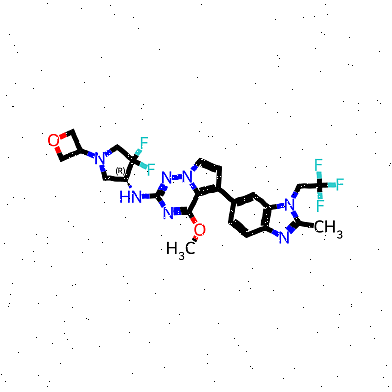 COc1nc(N[C@@H]2CN(C3COC3)CC2(F)F)nn2ccc(-c3ccc4nc(C)n(CC(F)(F)F)c4c3)c12